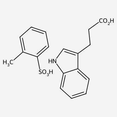 Cc1ccccc1S(=O)(=O)O.O=C(O)CCc1c[nH]c2ccccc12